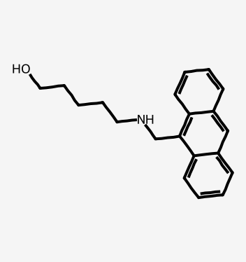 OCCCCCNCc1c2ccccc2cc2ccccc12